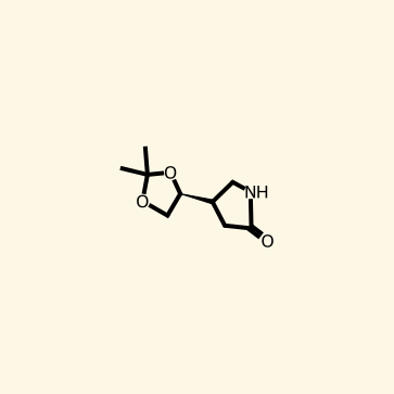 CC1(C)OC[C@H](C2CNC(=O)C2)O1